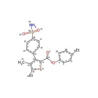 CCc1ccc(OC(=O)c2sc(CC)c(C)c2-c2ccc(S(N)(=O)=O)cc2)cc1